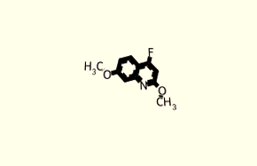 COc1ccc2c(F)cc(OC)nc2c1